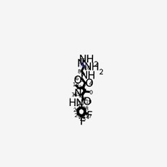 Cc1c(C(=O)C(=O)NC/C(N)=N/N)c(C)n(C)c1C(=O)Nc1ccc(F)c(F)c1